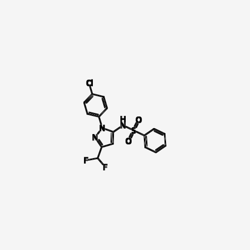 O=S(=O)(Nc1cc(C(F)F)nn1-c1ccc(Cl)cc1)c1ccccc1